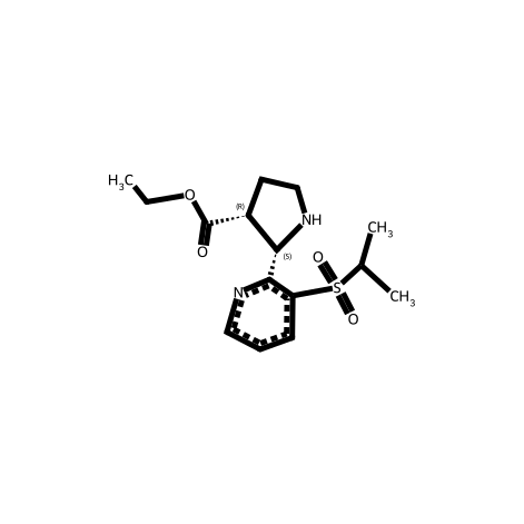 CCOC(=O)[C@@H]1CCN[C@@H]1c1ncccc1S(=O)(=O)C(C)C